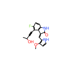 COc1cc[nH]c1/C=C1\C(=O)Nc2ccc(F)c(C#CC(C)O)c21